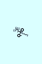 CCN(CC)C(=O)C(C)c1c(-c2ccccc2C)n(CCCCF)c2ccccc12